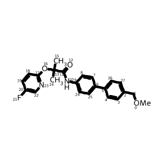 COCc1ccc(-c2ccc(NC(=O)C(C)(C)Oc3ccc(F)cn3)cc2)cc1